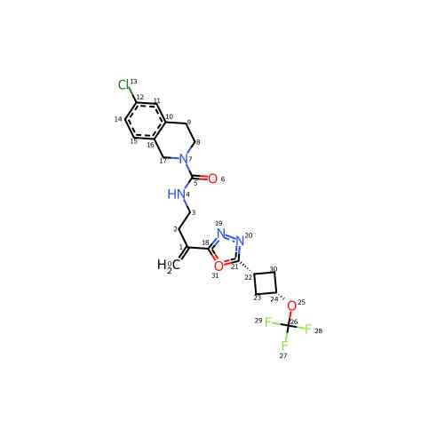 C=C(CCNC(=O)N1CCc2cc(Cl)ccc2C1)c1nnc([C@H]2C[C@@H](OC(F)(F)F)C2)o1